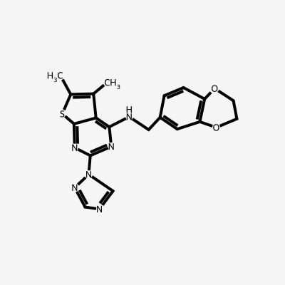 Cc1sc2nc(-n3cncn3)nc(NCc3ccc4c(c3)OCCO4)c2c1C